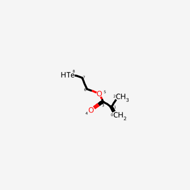 C=C(C)C(=O)OCC[TeH]